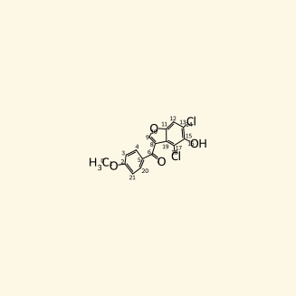 COc1ccc(C(=O)c2coc3cc(Cl)c(O)c(Cl)c23)cc1